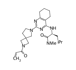 C=CC(=O)N1CC2(CCN(c3nc4c(c(N[C@@H](CC(C)C)C(=O)NC)n3)CCCC4)C2)C1